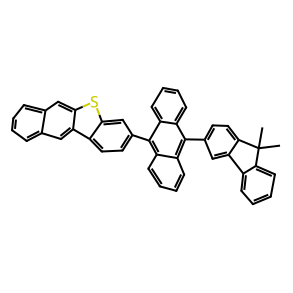 CC1(C)c2ccccc2-c2cc(-c3c4ccccc4c(-c4ccc5c(c4)sc4cc6ccccc6cc45)c4ccccc34)ccc21